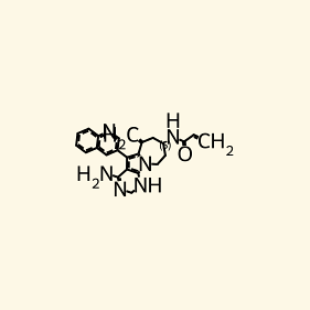 C=CC(=O)N[C@@H]1CCn2c3c(c(-c4cnc5ccccc5c4)c2C(=C)C1)C(N)=NCN3